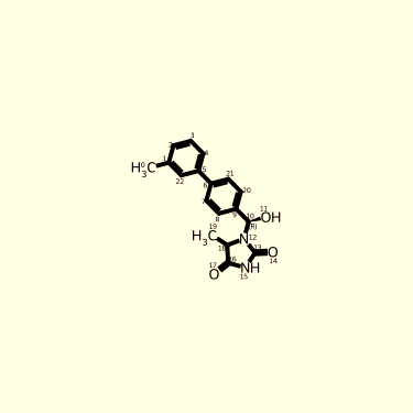 Cc1cccc(-c2ccc([C@@H](O)N3C(=O)NC(=O)C3C)cc2)c1